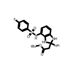 CCCC1(CC(=O)OC(C)(C)C)Nc2cccc(NS(=O)(=O)c3ccc(F)cc3)c2N1